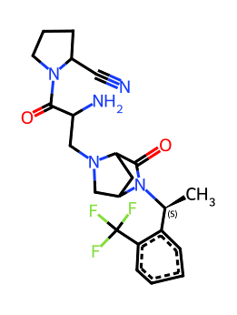 C[C@@H](c1ccccc1C(F)(F)F)N1C(=O)C2CC1CN2CC(N)C(=O)N1CCCC1C#N